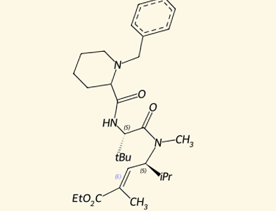 CCOC(=O)/C(C)=C/[C@H](C(C)C)N(C)C(=O)[C@@H](NC(=O)C1CCCCN1Cc1ccccc1)C(C)(C)C